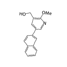 COc1ncc(-c2ccc3ccccc3c2)cc1CO